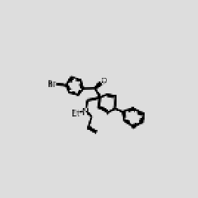 C=CCN(CC)CC1(C(=O)c2ccc(Br)cc2)C=CC(c2ccccc2)C=C1